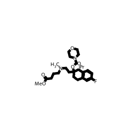 COC(=O)CCCN(C)CCC1(OC(=O)N2CCOCC2)CCc2cc(F)ccc2C1C(C)C